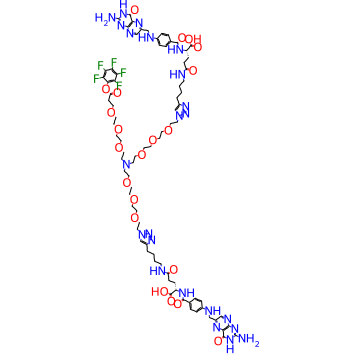 Nc1nc2ncc(CNc3ccc(C(=O)N[C@@H](CCC(=O)NCCCCc4cn(CCOCCOCCOCCN(CCOCCOCCOCCC(=O)Oc5c(F)c(F)c(F)c(F)c5F)CCOCCOCCOCCn5cc(CCCCNC(=O)CC[C@H](NC(=O)c6ccc(NCc7cnc8nc(N)[nH]c(=O)c8n7)cc6)C(=O)O)nn5)nn4)C(=O)O)cc3)nc2c(=O)[nH]1